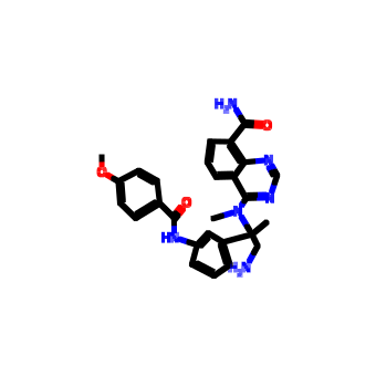 COc1ccc(C(=O)Nc2cccc(C(C)(CN)N(C)c3ncnc4c(C(N)=O)cccc34)c2)cc1